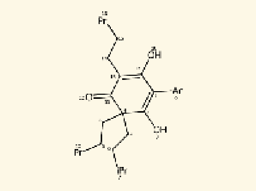 CC(=O)C1=C(O)C(CCC(C)C)(CCC(C)C)C(=O)C(CCC(C)C)=C1O